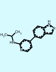 CC(C)Nc1cc(-c2ccc3[nH]ncc3c2)ccn1